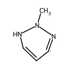 CN1N=[C]C=CN1